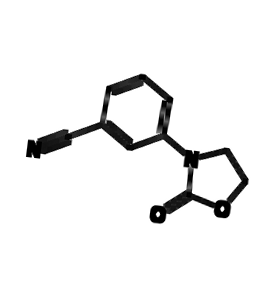 N#Cc1cccc(N2CCOC2=O)c1